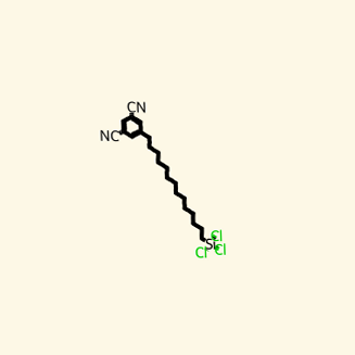 N#Cc1cc(C#N)cc(CCCCCCCCCCCCCC[Si](Cl)(Cl)Cl)c1